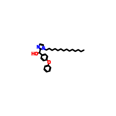 CCCCCCCCCCCCCCn1ccnc1C(O)c1ccc(Oc2ccccc2)cc1